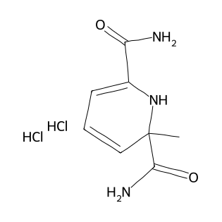 CC1(C(N)=O)C=CC=C(C(N)=O)N1.Cl.Cl